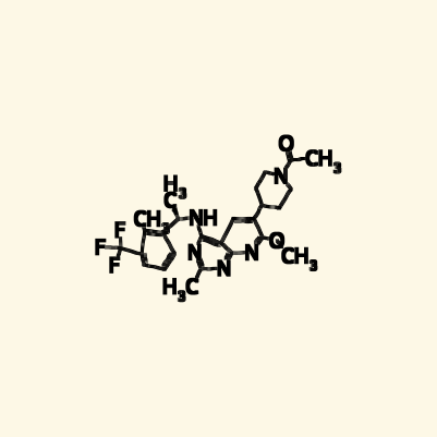 COc1nc2nc(C)nc(N[C@H](C)c3cccc(C(F)(F)F)c3C)c2cc1C1CCN(C(C)=O)CC1